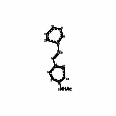 CC(=O)Nc1ccc(/C=N/c2ccccc2)cc1